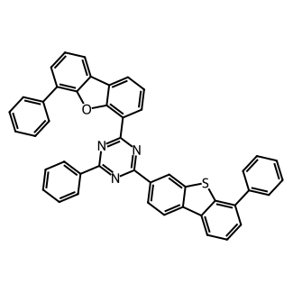 c1ccc(-c2nc(-c3ccc4c(c3)sc3c(-c5ccccc5)cccc34)nc(-c3cccc4c3oc3c(-c5ccccc5)cccc34)n2)cc1